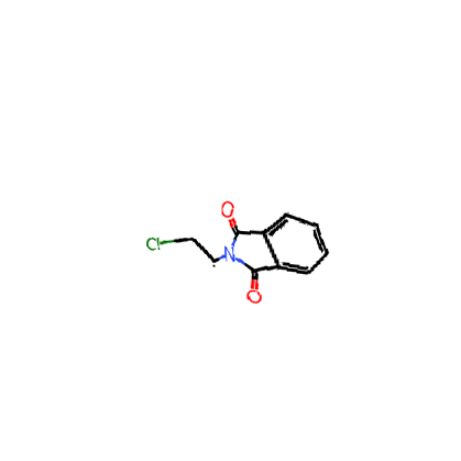 O=C1c2ccccc2C(=O)N1[CH]CCl